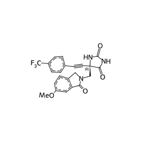 COc1ccc2c(c1)C(=O)N(C[C@@]1(C#Cc3ccc(C(F)(F)F)cc3)NC(=O)NC1=O)C2